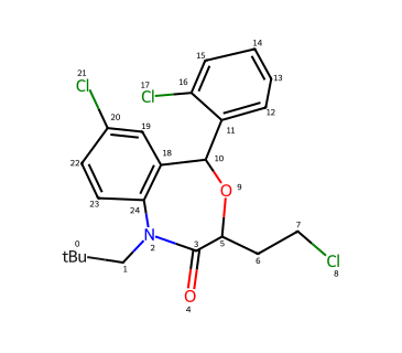 CC(C)(C)CN1C(=O)C(CCCl)OC(c2ccccc2Cl)c2cc(Cl)ccc21